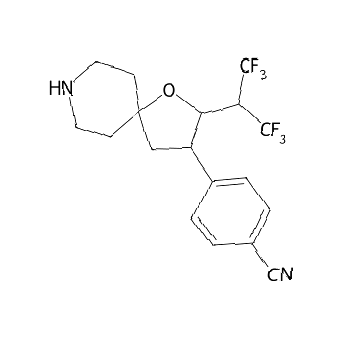 N#Cc1ccc(C2CC3(CCNCC3)OC2C(C(F)(F)F)C(F)(F)F)cc1